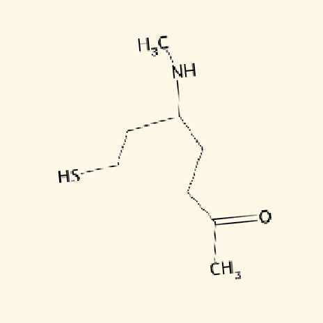 CNC(CCS)CCC(C)=O